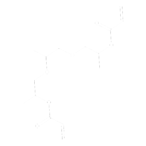 C=CC(=O)OC(C)COCC(C)OCC(C)OC(=O)C=C